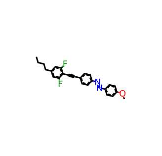 CCCCc1cc(F)c(C#Cc2ccc(N=Nc3ccc(OC)cc3)cc2)c(F)c1